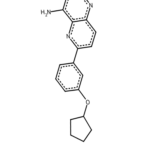 Nc1ncnc2ccc(-c3cccc(OC4CCCC4)c3)nc12